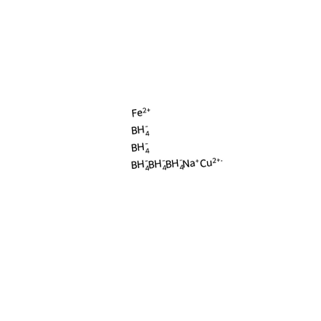 [BH4-].[BH4-].[BH4-].[BH4-].[BH4-].[Cu+2].[Fe+2].[Na+]